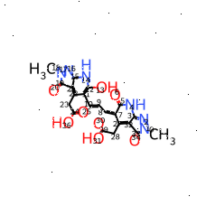 CN1N=c2[nH]c(=O)c(=CC=Cc3c(O)[nH]c4nn(C)c(=O)c-4c3CC(=O)O)c(CC(=O)O)c2C1=O